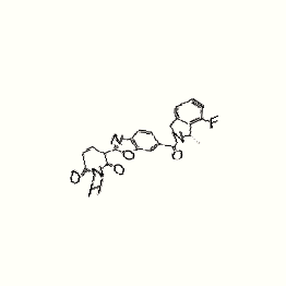 C[C@H]1c2c(F)cccc2CN1C(=O)c1ccc2nc(C3CCC(=O)NC3=O)oc2c1